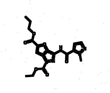 CCCOC(=O)c1cc2c(o1)c(NC(=O)c1ccnn1C)nn2C(=O)OCC